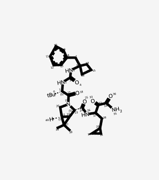 CC(C)(C)[C@H](NC(=O)NC1(Cc2ccccc2)CCC1)C(=O)N1C[C@H]2C([C@H]1C(=O)NC(CC1CC1)C(=O)C(N)=O)C2(C)C